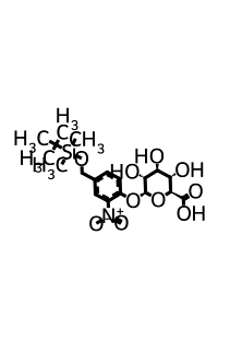 CC(C)(C)[Si](C)(C)OCc1ccc(O[C@@H]2O[C@H](C(=O)O)[C@@H](O)[C@H](O)[C@H]2O)c([N+](=O)[O-])c1